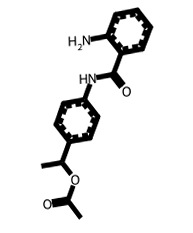 CC(=O)OC(C)c1ccc(NC(=O)c2ccccc2N)cc1